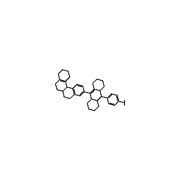 Ic1ccc(C2C3CCCCC3=C(c3ccc4c(c3)CCC3CCC5=C(CCCC5)C43)C3CCCCC32)cc1